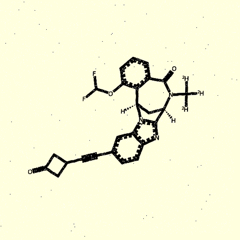 [2H]C([2H])([2H])N1C(=O)c2cccc(OC(F)F)c2[C@H]2C[C@@H]1c1nc3ccc(C#CC4CC(=O)C4)cc3n12